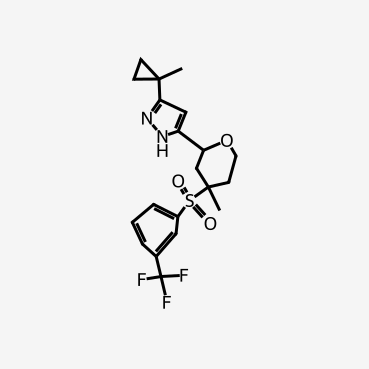 CC1(c2cc(C3CC(C)(S(=O)(=O)c4cccc(C(F)(F)F)c4)CCO3)[nH]n2)CC1